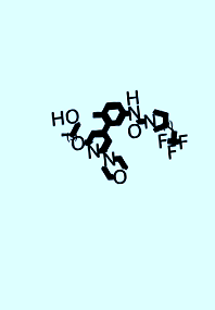 Cc1ccc(NC(=O)N2CC[C@H](CC(F)(F)F)C2)cc1-c1cc(O[C@@H](C)CO)nc(N2CCOCC2)c1